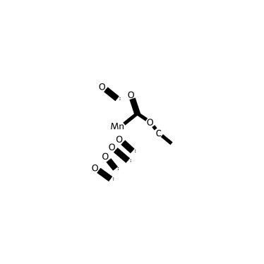 CCO[C](=O)[Mn].[C]=O.[C]=O.[C]=O.[C]=O.[C]=O